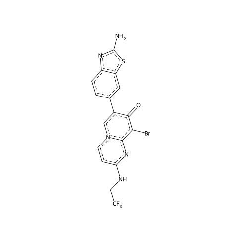 Nc1nc2ccc(-c3cn4ccc(NCC(F)(F)F)nc4c(Br)c3=O)cc2s1